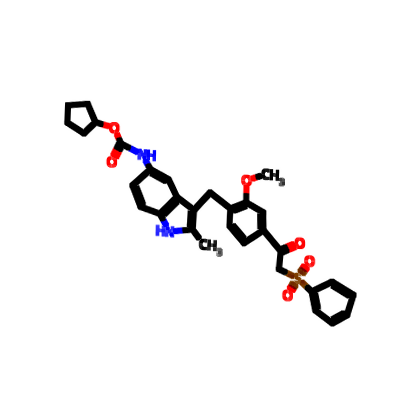 COc1cc(C(=O)CS(=O)(=O)c2ccccc2)ccc1Cc1c(C)[nH]c2ccc(NC(=O)OC3CCCC3)cc12